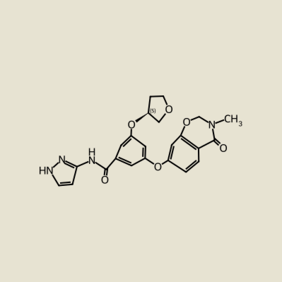 CN1COc2cc(Oc3cc(O[C@H]4CCOC4)cc(C(=O)Nc4cc[nH]n4)c3)ccc2C1=O